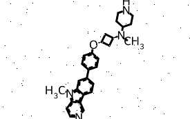 Cn1c2ccncc2c2ccc(-c3ccc(O[C@H]4C[C@H](N(C)C5CCNCC5)C4)cc3)cc21